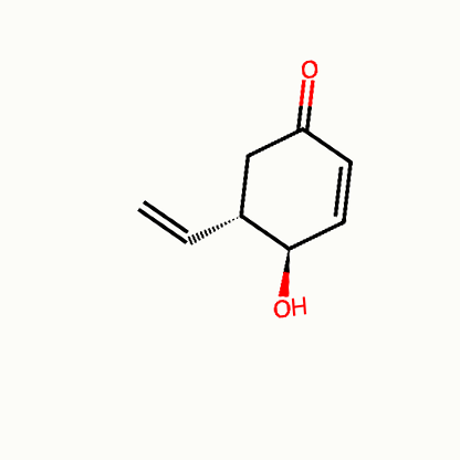 C=C[C@@H]1CC(=O)C=C[C@H]1O